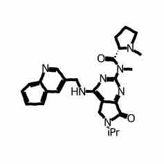 CC(C)N1Cc2c(NCc3cnc4ccccc4c3)nc(N(C)C(=O)[C@@H]3CCCN3C)nc2C1=O